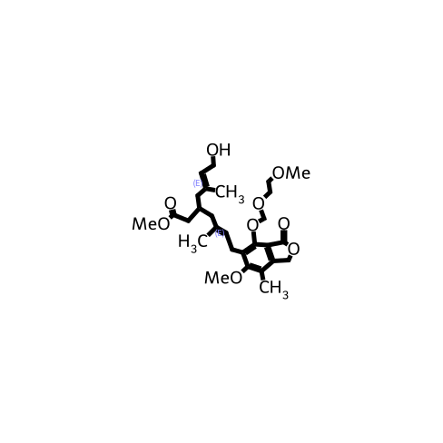 COCCOCOc1c(C/C=C(\C)CC(CC(=O)OC)C/C(C)=C/CO)c(OC)c(C)c2c1C(=O)OC2